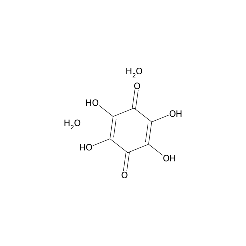 O.O.O=C1C(O)=C(O)C(=O)C(O)=C1O